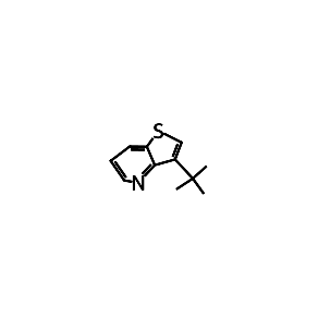 CC(C)(C)c1csc2cccnc12